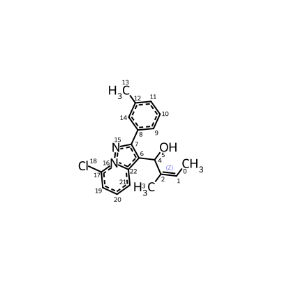 C/C=C(/C)C(O)c1c(-c2cccc(C)c2)nn2c(Cl)cccc12